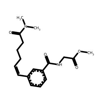 COC(=O)CNC(=O)c1cccc(/C=C\CCCC(=O)N(C)C)c1